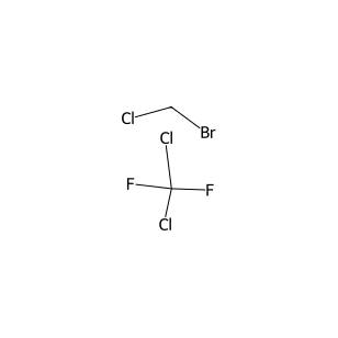 ClCBr.FC(F)(Cl)Cl